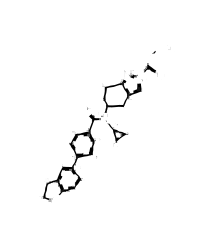 CC(C)(C)OC(=O)n1cc2c(n1)CCC(N(C(=O)c1ccc(-c3ccc4c(c3)CCO4)cc1)C1CC1)C2